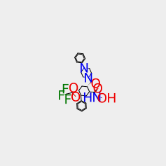 O=C(NO)[C@H]1C[C@@](OC(=O)C(F)(F)F)(c2ccccc2)CC[C@@H]1C(=O)N1CCN(c2ccccc2)CC1